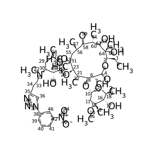 CC[C@H]1OC(=O)[C@H](C)[C@@H](O[C@H]2C[C@@](C)(OC)[C@@H](O)[C@H](C)O2)[C@H](C)[C@@H](O[C@@H]2O[C@H](C)C[C@H](N(C)CCc3cn(-c4cccc([N+](=O)[O-])c4)nn3)[C@H]2O)[C@](C)(OC)C[C@@H](C)C(=O)[C@H](C)[C@@H](O)[C@]1(C)O